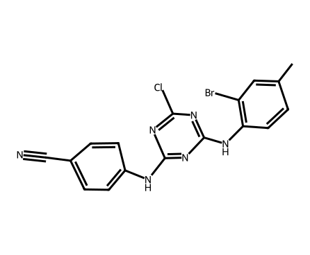 Cc1ccc(Nc2nc(Cl)nc(Nc3ccc(C#N)cc3)n2)c(Br)c1